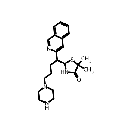 CC1(C)SC(C(CCCN2CCNCC2)c2cc3ccccc3cn2)NC1=O